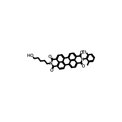 CCc1cccc(C)c1N1C(=O)c2ccc3c4ccc5c6c(ccc(c7ccc(c2c37)C1=O)c64)C(=O)N(CCCCCO)C5=O